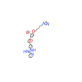 N=C(Nc1ccc(-c2ccc(-c3ccc(OCCCCCCn4ccnc4)c(Br)c3)o2)cc1)c1ccccn1